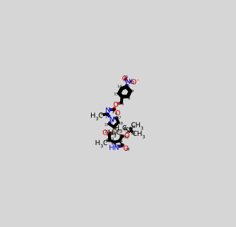 CC(=NC(=O)OCc1ccc([N+](=O)[O-])cc1)N1CC[C@H](SC(=O)[C@H](C)[C@@H]2NC(=O)[C@@H]2[C@@H](C)O[Si](C)(C)C)C1